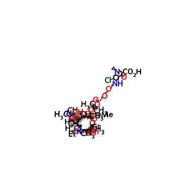 CCO/N=C1\[C@H](C)C[C@@](C)(O)[C@H](O[C@@H]2O[C@H](C)C[C@H](N(C)C)[C@H]2O)[C@@H](C)[C@H](OC(CCOC)O[C@@H](C)[C@@H](C)OC(=O)CCOCCOCCNc2cc3c(=O)c(C(=O)O)cn(C4CC4)c3cc2Cl)[C@@H](C)C(=O)O[C@H](CC)[C@@](C)(O)[C@H](O)[C@H]1C